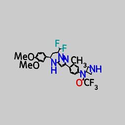 COc1ccc(C2CC(C(F)F)n3nc(-c4ccc(N(C(=O)C(F)(F)F)C5CNC5)cc4C)cc3N2)cc1OC